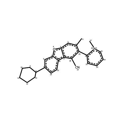 Cc1cc2oc3cc(C4CCCCC4)ccc3c2c(C#N)c1-c1cccc[n+]1C